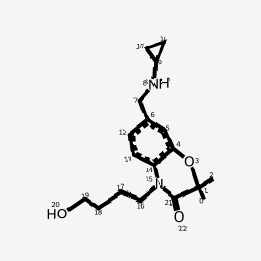 CC1(C)Oc2cc(CNC3CC3)ccc2N(CCCCO)C1=O